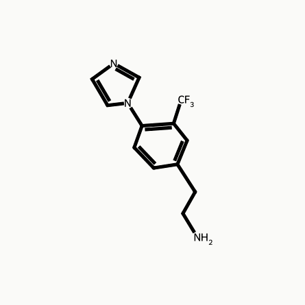 NCCc1ccc(-n2ccnc2)c(C(F)(F)F)c1